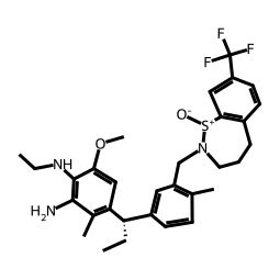 CCNc1c(OC)cc([C@@H](CC)c2ccc(C)c(CN3CCCc4ccc(C(F)(F)F)cc4[S+]3[O-])c2)c(C)c1N